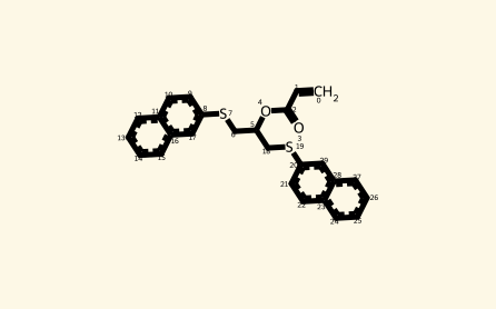 C=CC(=O)OC(CSc1ccc2ccccc2c1)CSc1ccc2ccccc2c1